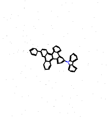 c1ccc(-c2ccc3c(c2)c2ccccc2c2c4ccc(-n5c6ccccc6c6ccccc65)cc4c4ccccc4c32)cc1